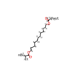 CCCCC(CC)C(=O)OCCCCCCCCCCCCOC(=O)C(C)CCC